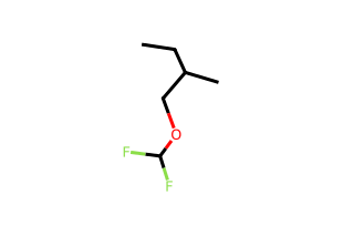 CCC(C)COC(F)F